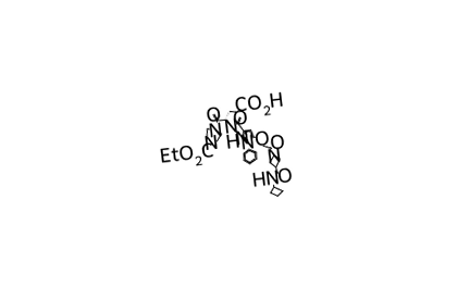 CCOC(=O)N1CCN(C(=O)[C@H](CCC(=O)O)NC(=O)c2cc(OCC(=O)N3CC(C(=O)NC4CCC4)C3)n(-c3ccccc3)n2)CC1